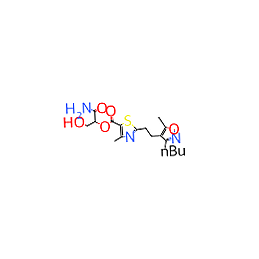 CCCCc1noc(C)c1CCc1nc(C)c(C(=O)OC(CO)C(N)=O)s1